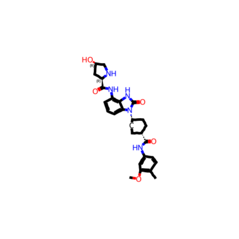 COc1cc(NC(=O)[C@H]2CC[C@@H](n3c(=O)[nH]c4c(NC(=O)[C@H]5C[C@@H](O)CN5)cccc43)CC2)ccc1C